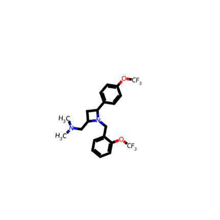 CN(C)CC1CC(c2ccc(OC(F)(F)F)cc2)N1Cc1ccccc1OC(F)(F)F